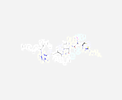 C=CC(C(=O)O)n1nnnc1SCC1=C(C(=O)O)N2C(=O)C(NC(=O)C(=NO)c3csc(N)n3)[C@@H]2SC1